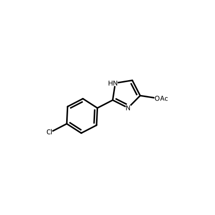 CC(=O)Oc1c[nH]c(-c2ccc(Cl)cc2)n1